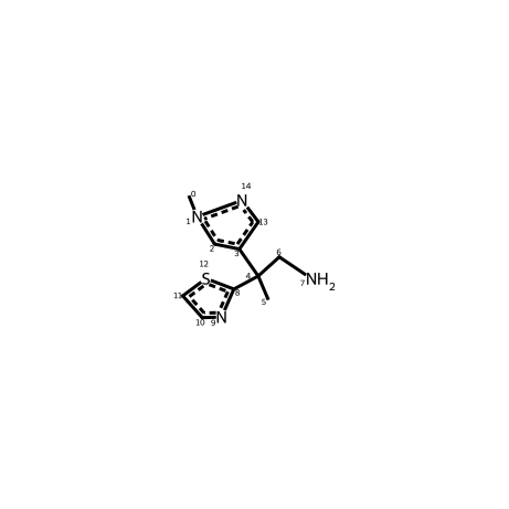 Cn1cc(C(C)(CN)c2nccs2)cn1